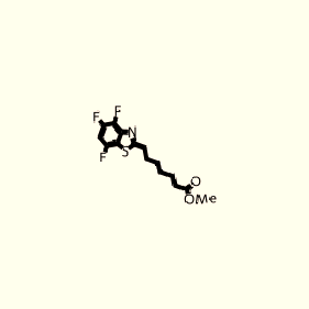 COC(=O)CCCCCCc1nc2c(F)c(F)cc(F)c2s1